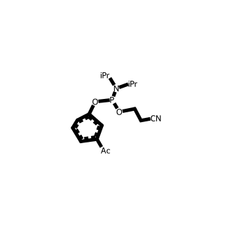 CC(=O)c1cccc(OP(OCCC#N)N(C(C)C)C(C)C)c1